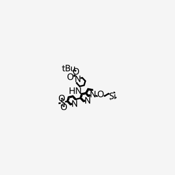 CC(C)(C)OC(=O)N1CCC[C@@H](Nc2c(-c3ccc(S(C)(=O)=O)cn3)cnc3c2ccn3COCC[Si](C)(C)C)C1